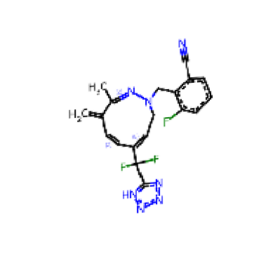 C=C1/C=C\C(C(F)(F)c2nnn[nH]2)=C/CN(Cc2c(F)cccc2C#N)/N=C\1C